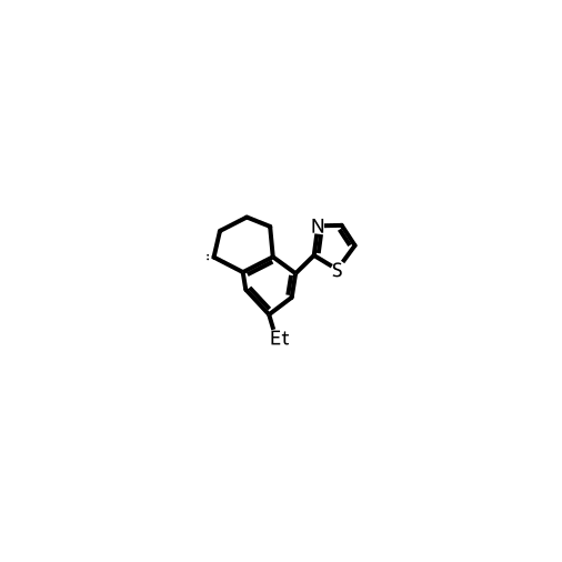 CCc1cc2c(c(-c3nccs3)c1)CCC[C]2